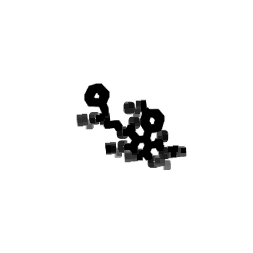 COC(=O)C1C(C)NC(C)C(C(=O)OCCN(C)Cc2ccccc2)C1c1cccc([N+](=O)[O-])c1